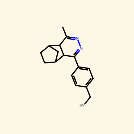 CC1=NN=C(c2ccc(CC(C)C)cc2)C2C3CCC(C3)C12